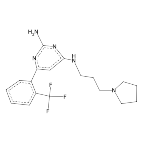 Nc1nc(NCCCN2CCCC2)cc(-c2ccccc2C(F)(F)F)n1